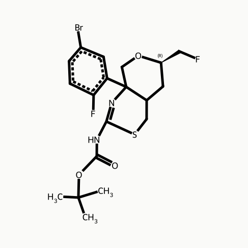 CC(C)(C)OC(=O)NC1=NC2(c3cc(Br)ccc3F)CO[C@@H](CF)CC2CS1